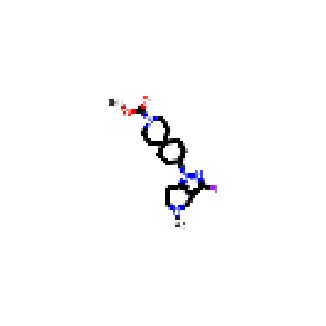 CC(=O)N1CCc2c(c(I)nn2C2CCC3(CC2)CCN(C(=O)OC(C)(C)C)CC3)C1